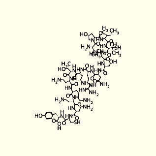 CC[C@H](C)[C@H](NC(=O)[C@@H]1C[C@@H](O)CN1C(=O)[C@@H](N)C(C)C)C(=O)N[C@H](C(=O)N[C@@H](CO)C(=O)N[C@@H](CO)C(=O)N[C@@H](CC(N)=O)C(=O)N[C@@H](CCCNC(=N)N)C(=O)N[C@@H](CCN)C(=O)N[C@H](C(=O)N[C@H](CCN)C(=O)N[C@@H](CCCCN)C(=O)N[C@@H](CCN)C(=O)N[C@@H](CCN)C(=O)N[C@@H](CS)C(=O)N[C@@H](Cc1ccc(O)cc1)C(=O)O)[C@@H](C)O)C(C)(C)S